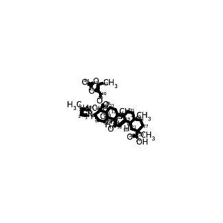 Cc1ccn([C@H]2CC[C@@]3(C)[C@@H](CC[C@]4(C)[C@@H]3C(=O)C=C3[C@@H]5C[C@@](C)(C(=O)O)CC[C@]5(C)CC[C@]34C)[C@]2(C)C(=O)OCc2oc(=O)oc2C)n1